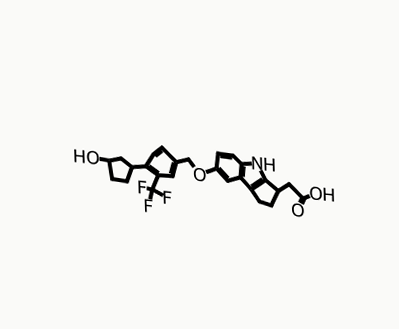 O=C(O)CC1CCc2c1[nH]c1ccc(OCc3ccc(C4CCC(O)C4)c(C(F)(F)F)c3)cc21